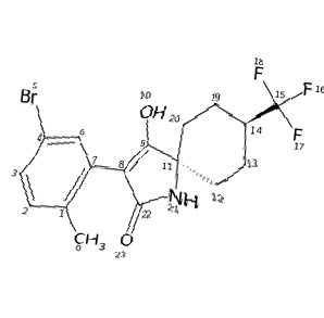 Cc1ccc(Br)cc1C1=C(O)[C@]2(CC[C@H](C(F)(F)F)CC2)NC1=O